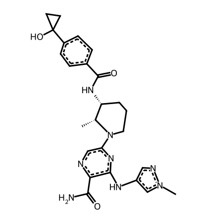 C[C@@H]1[C@H](NC(=O)c2ccc(C3(O)CC3)cc2)CCCN1c1cnc(C(N)=O)c(Nc2cnn(C)c2)n1